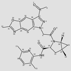 CC(=O)c1nn(CC(=O)N2[C@H](C(=O)Nc3nc(C)ccc3C)C[C@@]3(C)C[C@@H]23)c2cc3nc(C)oc3cc12